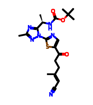 C/C(=C\C#N)CCC(=O)c1cnc(-n2nc(C)nc2[C@H](C)NC(=O)OC(C)(C)C)s1